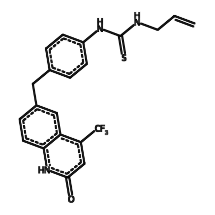 C=CCNC(=S)Nc1ccc(Cc2ccc3[nH]c(=O)cc(C(F)(F)F)c3c2)cc1